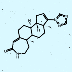 C[C@]12CCNC(=O)C=C1CC[C@@H]1C2CC[C@]2(C)C(n3cncn3)=CC[C@@H]12